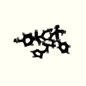 CCP(=O)(O)O[C@H](CN(CC(C)C)S(=O)(=O)c1ccc([N+](=O)[O-])cc1)[C@H](Cc1ccccc1)NC(=O)OC1CCOC1